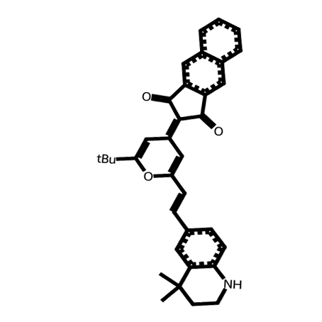 CC(C)(C)C1=CC(=C2C(=O)c3cc4ccccc4cc3C2=O)C=C(C=Cc2ccc3c(c2)C(C)(C)CCN3)O1